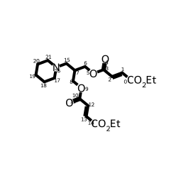 CCOC(=O)/C=C/C(=O)OCC(COC(=O)/C=C/C(=O)OCC)CN1CCCCC1